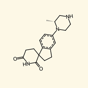 C[C@@H]1CNCCN1c1ccc2c(c1)CCC21CCC(=O)NC1=O